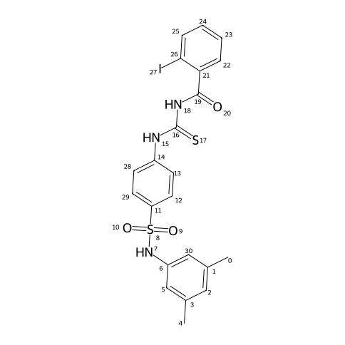 Cc1cc(C)cc(NS(=O)(=O)c2ccc(NC(=S)NC(=O)c3ccccc3I)cc2)c1